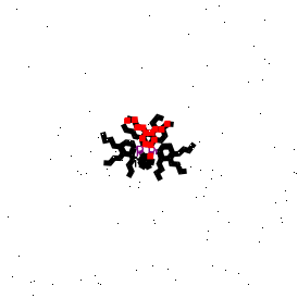 CCCCc1ccc(P(c2ccc(CCCC)c(CCCC)c2CCCC)[C]23[CH]4[CH]5[CH]6[C]2(P(c2ccc(CCCC)c(CCCC)c2CCCC)c2ccc(CCCC)c(CCCC)c2CCCC)[Ni]54632789[CH]3[CH]2[CH]7[CH]8[CH]39)c(CCCC)c1CCCC